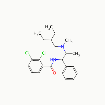 CCC(CC)CN(C)C(C)[C@H](NC(=O)c1cccc(Cl)c1Cl)c1ccccc1